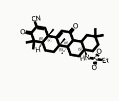 CCS(=O)(=O)N[C@]12CCC(C)(C)CC1C1C(=O)C=C3[C@@]4(C)C=C(C#N)C(=O)C(C)(C)[C@@H]4CC[C@@]3(C)[C@]1(C)CC2